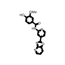 COc1cc(C(=O)Nc2cc(-c3nc4ncccc4o3)ccn2)ccc1O